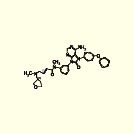 CN(C(=O)/C=C/CN(C)[C@H]1CCOC1)c1cccc(-n2c(=O)n(-c3ccc(Oc4ccccc4)cc3)c3c(N)ncnc32)c1